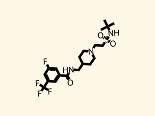 CC(C)(C)NS(=O)(=O)CCN1CCC(CNC(=O)c2cc(F)cc(C(F)(F)F)c2)CC1